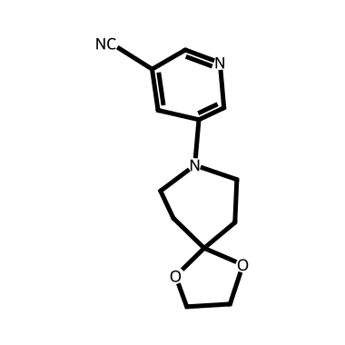 N#Cc1cncc(N2CCC3(CC2)OCCO3)c1